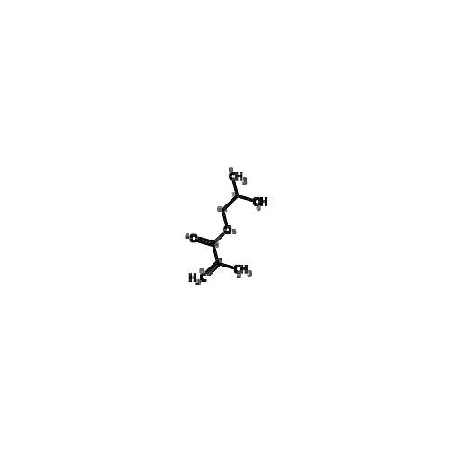 C=C(C)C(=O)O[CH]C(C)O